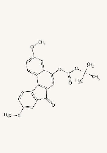 COc1ccc2c(c1)C(=O)c1cc(OC(=O)OC(C)(C)C)c3cc(OC)ccc3c1-2